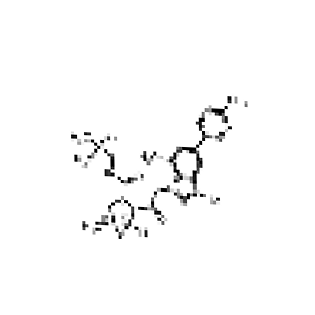 CCC(C)(C)CNC(=O)[C@@H]1C[C@@]2(C)C[C@H]2N1C(=O)Cn1nc(C(C)=O)c2cc(-c3cnc(C)nc3)cc(C)c21